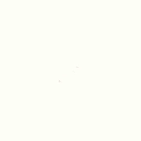 O=C(NC(Cc1cc(=O)[nH]c2ccccc12)C(=O)S)c1ccc(Cl)cc1